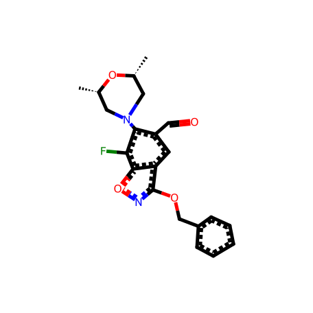 C[C@@H]1CN(c2c(C=O)cc3c(OCc4ccccc4)noc3c2F)C[C@H](C)O1